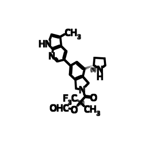 Cc1c[nH]c2ncc(-c3cc4c(c([C@@H]5CCCN5)c3)CN(C(=O)[C@@](C)(OC=O)C(F)(F)F)C4)cc12